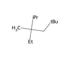 [CH2]C(C)(C)CC(C)(CC)C(C)C